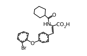 O=C(O)/C(=C/c1ccc(Oc2ccccc2Br)cc1)NC(=O)C1CCCCC1